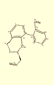 CNC[C@H]1CCc2cccc(-c3ccccc3OC)c2O1